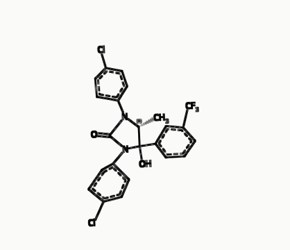 C[C@H]1N(c2ccc(Cl)cc2)C(=O)N(c2ccc(Cl)cc2)C1(O)c1cccc(C(F)(F)F)c1